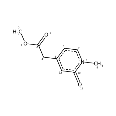 COC(=O)Cc1ccn(C)c(=O)c1